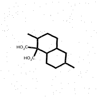 CC1CCC2C(CCC(C)C2(C(=O)O)C(=O)O)C1